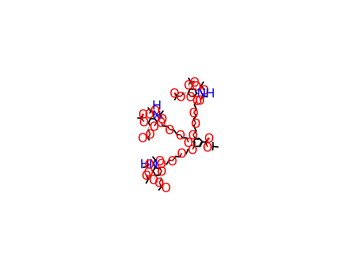 CC(=O)N[C@H]1[C@H](OCCOCCOCCOc2cc(C(=O)OC(C)(C)C)cc(OCCOCCOCCO[C@@H]3O[C@H](COC(C)=O)[C@H](OC(C)=O)[C@H](OC(C)=O)[C@H]3NC(C)=O)c2OCCOCCOCCO[C@@H]2O[C@H](COC(C)=O)[C@H](OC(C)=O)[C@H](OC(C)=O)[C@H]2NC(C)=O)O[C@H](COC(C)=O)[C@H](OC(C)=O)[C@@H]1OC(C)=O